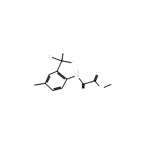 COC(=O)C(=O)Nc1ccc(Cl)cc1C(F)(F)F